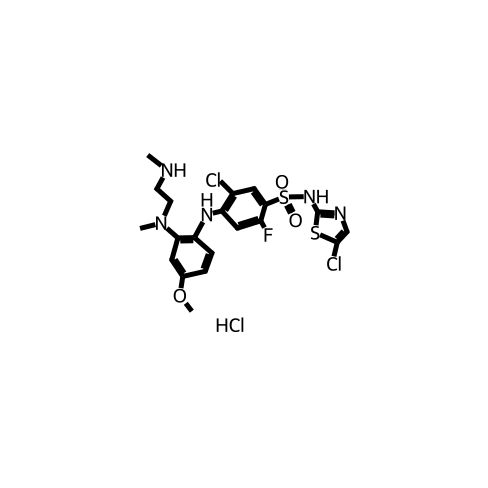 CNCCN(C)c1cc(OC)ccc1Nc1cc(F)c(S(=O)(=O)Nc2ncc(Cl)s2)cc1Cl.Cl